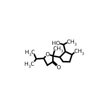 CC(C)C1CC(=O)C(C)(C2CCC(C)C2C(C)O)O1